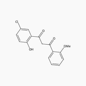 COc1ccccc1C(=O)CC(=O)c1cc(Cl)ccc1O